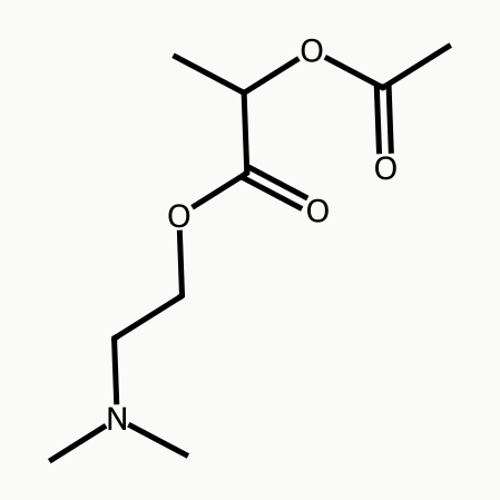 CC(=O)OC(C)C(=O)OCCN(C)C